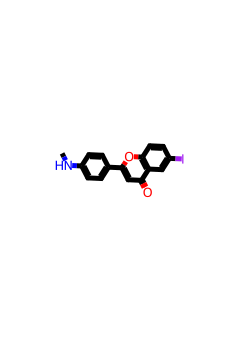 CNc1ccc(-c2cc(=O)c3cc(I)ccc3o2)cc1